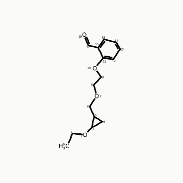 CCOC1CC1COCCOc1ccccc1C=O